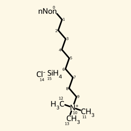 CCCCCCCCCCCCCCCCCC[N+](C)(C)C.[Cl-].[SiH4]